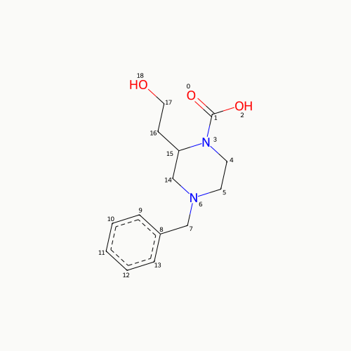 O=C(O)N1CCN(Cc2ccccc2)CC1CCO